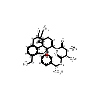 CC(=O)O[C@@H](C(=O)O[C@H](C(=O)O)c1ccccc1)[C@@H](C)C(=O)OC1=CC[C@@]2(O)[C@H]3Cc4ccc(CO)c5c4[C@@]2(CCN3C)[C@H]1O5